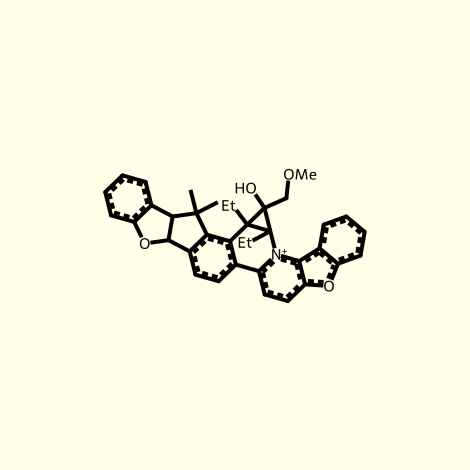 CCC12c3c(ccc4c3C(C)(C)C3c5ccccc5OC43)-c3ccc4oc5ccccc5c4[n+]3C1(CC)C2(O)COC